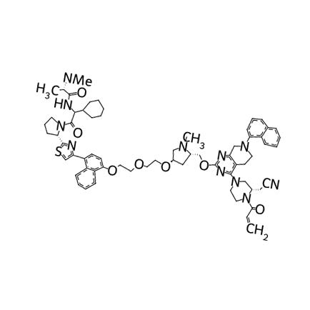 C=CC(=O)N1CCN(c2nc(OC[C@@H]3C[C@@H](OCCOCCOc4ccc(-c5csc([C@@H]6CCCN6C(=O)C(NC(=O)[C@H](C)NC)C6CCCCC6)n5)c5ccccc45)CN3C)nc3c2CCN(c2cccc4ccccc24)C3)C[C@@H]1CC#N